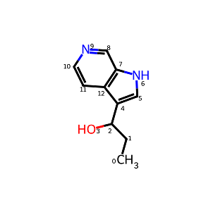 CCC(O)c1c[nH]c2cnccc12